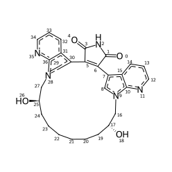 O=C1NC(=O)C2=C1c1cn(c3ncccc13)C[C@H](O)CCCCCC[C@@H](O)Cn1cc2c2cccnc21